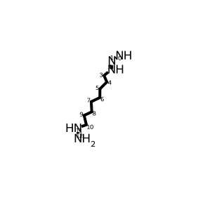 N=NNCCCCCCCCNN